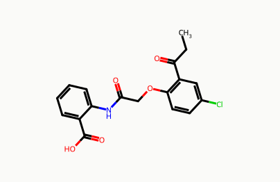 CCC(=O)c1cc(Cl)ccc1OCC(=O)Nc1ccccc1C(=O)O